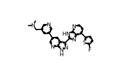 CN(C)Cc1cncc(-c2cnc3[nH]nc(-c4nc5c(-c6ccc(F)s6)ccnc5[nH]4)c3c2)c1